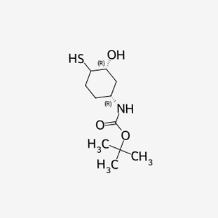 CC(C)(C)OC(=O)N[C@@H]1CCC(S)[C@H](O)C1